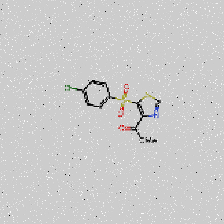 COC(=O)c1ncsc1S(=O)(=O)c1ccc(Cl)cc1